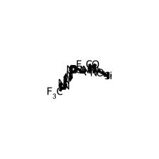 C[C@@H](COc1ccnc(N2CCN(c3ncc(C(F)(F)F)cn3)CC2)c1)Nc1cnn(COCC[Si](C)(C)C)c(=O)c1C(F)(F)F